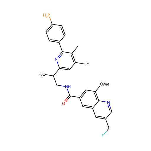 COc1cc(C(=O)NCC(c2cc(C(C)C)c(C)c(-c3ccc(P)cc3)n2)C(F)(F)F)cc2cc(CF)cnc12